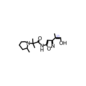 C/C(=C/O)c1cc(NC(=O)C(C)(C)N2CCCCC2C)on1